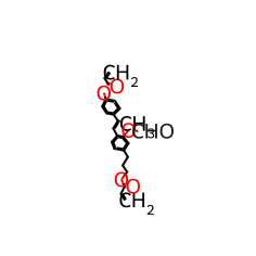 C=CC(=O)OCCCc1ccc(/C=C(\C)c2ccc(OC(=O)C=C)cc2)c(OC=O)c1